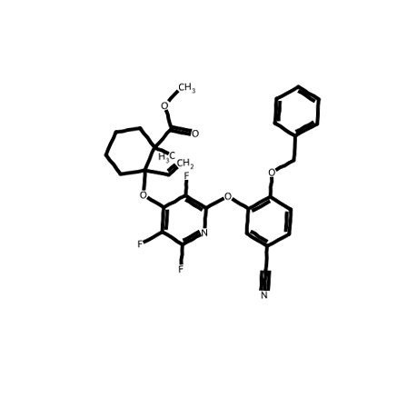 C=CC1(Oc2c(F)c(F)nc(Oc3cc(C#N)ccc3OCc3ccccc3)c2F)CCCCC1(C)C(=O)OC